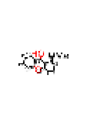 COc1ccccc1C(O)C1CCCCC1=O